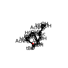 CC[C@@H]1C[C@@H](OC(C)(O)OC[C@@H]2C[C@@H](O[PH](C)(O)OC[C@@H]3C[C@@H](OC(C)(C)C)CN3C(=O)CCCCOC3OC(CO)C(O)C(O)C3NC(C)=O)CN2C(=O)CCCCOC2OC(CO)C(O)C(O)C2NC(C)=O)CN1C(=O)CCCCOC1OC(CO)C(O)C(O)C1NC(C)=O